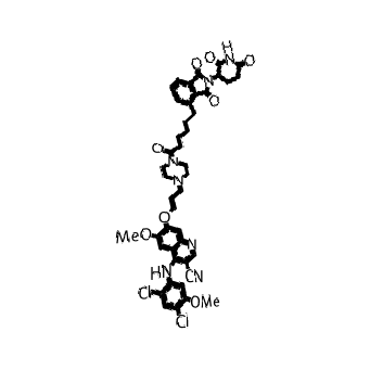 COc1cc(Nc2c(C#N)cnc3cc(OCCCN4CCN(C(=O)CCCCCc5cccc6c5C(=O)N(C5CCC(=O)NC5=O)C6=O)CC4)c(OC)cc23)c(Cl)cc1Cl